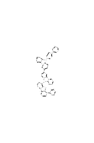 c1ccc(-c2ccc(-n3c4ccccc4c4cc(-c5ccc6c(c5)c5ccccc5n6-c5cccc6c5sc5c(-c7ccccc7)cccc56)ccc43)cc2)cc1